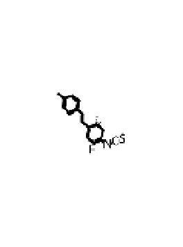 Cc1ccc(C=CC2=CC(F)=C(N=C=S)C[C@H]2C)cc1